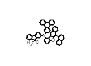 CC1(C)c2ccccc2-c2ccc(N(c3ccc4c5ccccc5c5ccccc5c4c3)c3cccc4oc5c(-c6cccc7ccccc67)c6ccccc6cc5c34)cc21